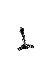 COCOc1ccc2c(c1)C[C@@H](CCCCOCCOCCOCC(=O)OC(C)(C)C)[C@@H]1[C@@H]2CC[C@]2(C)[C@@H](OCOC)CC[C@@H]12